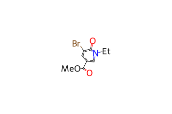 CCn1cc(C(=O)OC)cc(Br)c1=O